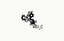 C[C@@H]1CCCCN1c1nc(N2C[C@@H]3[C@H](CC(=O)O)[C@@H]3C2)c2c(n1)C(F)(F)CC2